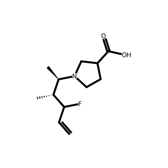 C=CC(F)[C@H](C)[C@@H](C)N1CCC(C(=O)O)C1